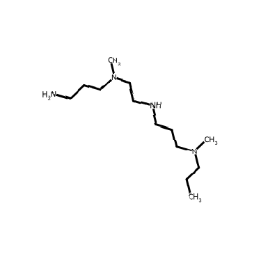 CCCN(C)CCCNCCN(C)CCCN